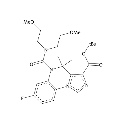 COCCN(CCOC)C(=O)N1c2cc(F)ccc2-n2cnc(C(=O)OC(C)(C)C)c2C1(C)C